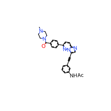 CC(=O)Nc1cccc(C#Cc2cnc3ccc(-c4ccc(C(=O)N5CCN(C)CC5)cc4)nn23)c1